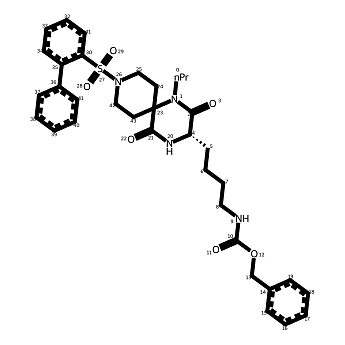 CCCN1C(=O)[C@H](CCCCNC(=O)OCc2ccccc2)NC(=O)C12CCN(S(=O)(=O)c1ccccc1-c1ccccc1)CC2